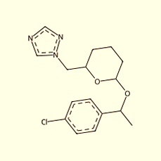 CC(OC1CCCC(Cn2cncn2)O1)c1ccc(Cl)cc1